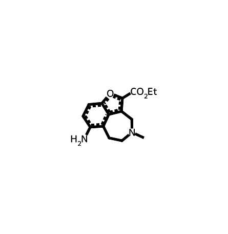 CCOC(=O)c1oc2ccc(N)c3c2c1CN(C)CC3